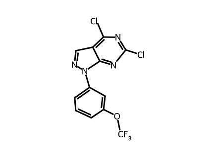 FC(F)(F)Oc1cccc(-n2ncc3c(Cl)nc(Cl)nc32)c1